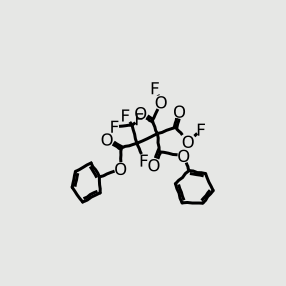 O=C(OF)C(C(=O)OF)(C(=O)Oc1ccccc1)C(F)(C(=O)Oc1ccccc1)C(F)(F)F